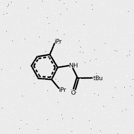 CC(C)c1cccc(C(C)C)c1NC(=O)C(C)(C)C